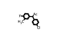 CC(=O)C(c1ccc(Cl)cc1)c1ccc(F)c(C)c1